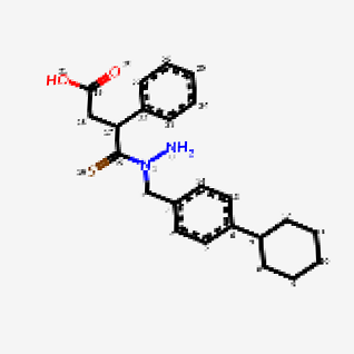 NN(Cc1ccc(C2CCCCC2)cc1)C(=S)C(CC(=O)O)c1ccccc1